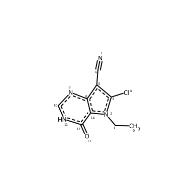 CCn1c(Cl)c(C#N)c2nc[nH]c(=O)c21